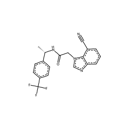 C[C@H](NC(=O)Cn1cnc2cccc(C#N)c21)c1ccc(C(F)(F)F)cc1